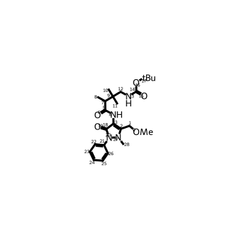 COCc1c(NC(=O)C(C)C(C)(C)CNC(=O)OC(C)(C)C)c(=O)n(-c2ccccc2)n1C